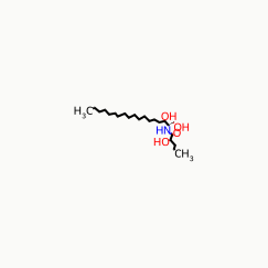 CCCCCCCCCCCCCCC[C@@H](O)[C@H](CO)NC(=O)[C@@H](O)CCC